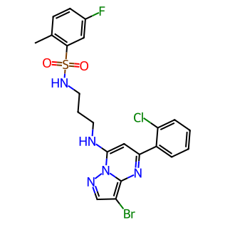 Cc1ccc(F)cc1S(=O)(=O)NCCCNc1cc(-c2ccccc2Cl)nc2c(Br)cnn12